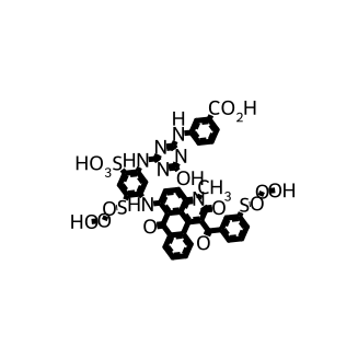 Cn1c(=O)c(C(=O)c2cccc(SOOO)c2)c2c3c(c(Nc4cc(Nc5nc(O)nc(Nc6cccc(C(=O)O)c6)n5)c(S(=O)(=O)O)cc4SOOO)ccc31)C(=O)c1ccccc1-2